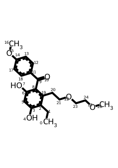 CCc1c(O)cc(O)c(C(=O)c2ccc(OC)cc2)c1CCOCCOC